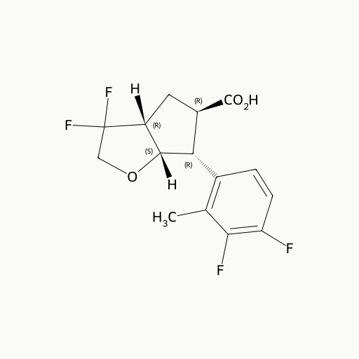 Cc1c([C@@H]2[C@@H]3OCC(F)(F)[C@@H]3C[C@H]2C(=O)O)ccc(F)c1F